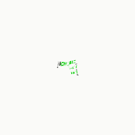 Cl.Cl.Cl.Cl.Cl.[Tl]